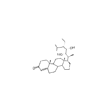 CC[C@@H](C(C)C)[C@H](O)[C@@H](O)[C@@H](C)[C@H]1CCCC2C3CCC4=CC(=O)CC[C@]4(C)C3CC[C@@]21C